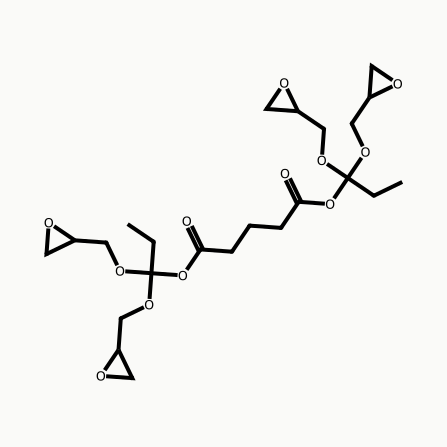 CCC(OCC1CO1)(OCC1CO1)OC(=O)CCCC(=O)OC(CC)(OCC1CO1)OCC1CO1